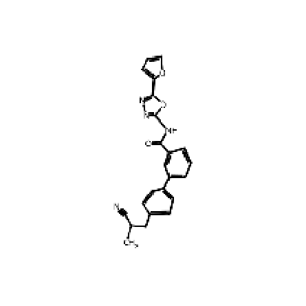 CC(C#N)Cc1ccc(-c2cccc(C(=O)Nc3nnc(-c4ccco4)o3)c2)cc1